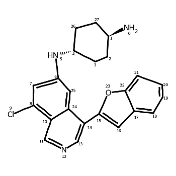 N[C@H]1CC[C@H](Nc2cc(Cl)c3cncc(-c4cc5ccccc5o4)c3c2)CC1